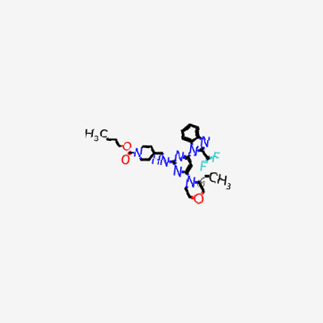 CCCCOC(=O)N1CCC(CNc2nc(N3CCOC[C@H]3CC)cc(-n3c(C(F)F)nc4ccccc43)n2)CC1